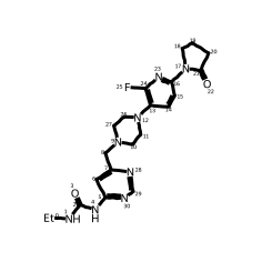 CCNC(=O)Nc1cc(CN2CCN(c3ccc(N4CCCC4=O)nc3F)CC2)ncn1